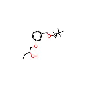 CCC(O)COc1cccc(CO[Si](C)(C)C(C)(C)C)c1